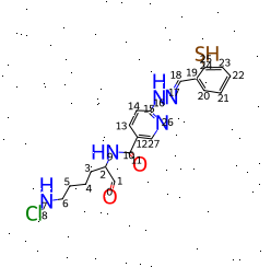 O=CC(CCCCNCl)NC(=O)c1ccc(NN=Cc2ccccc2S)nc1